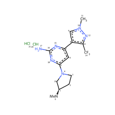 CN[C@@H]1CCN(c2cc(-c3cn(C)nc3C(F)(F)F)nc(N)n2)C1.Cl.Cl